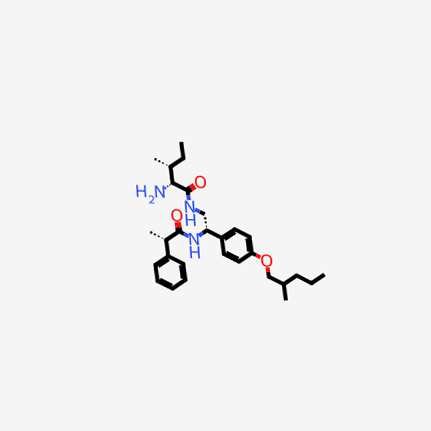 CCCC(C)COc1ccc([C@@H](CNC(=O)[C@H](N)[C@H](C)CC)NC(=O)[C@@H](C)c2ccccc2)cc1